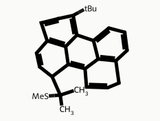 CSC(C)(C)C1C=Cc2ccc(C(C)(C)C)c3c2c1c1c2c(cccc23)CC=C1